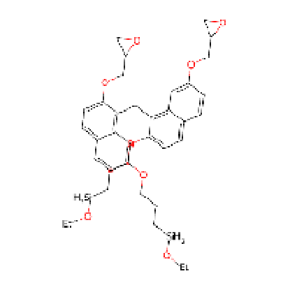 CCO[SiH2]CCCOc1ccc2ccc(OCC3CO3)c(Cc3c(OCCC[SiH2]OCC)ccc4ccc(OCC5CO5)cc34)c2c1